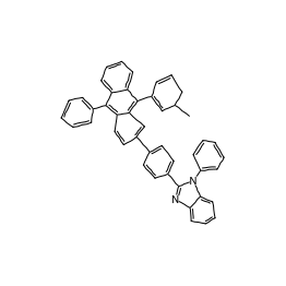 CC1C=C(c2c3ccccc3c(-c3ccccc3)c3ccc(-c4ccc(-c5nc6ccccc6n5-c5ccccc5)cc4)cc23)C=CC1